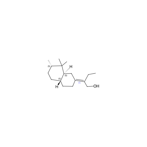 CC/C(CO)=C1/CC[C@@H]2CC[C@H](C)C(C)(C)[C@H]2C1